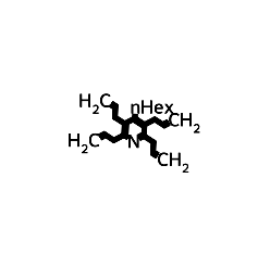 C=CCc1nc(CC=C)c(CC=C)c(CCCCCC)c1CC=C